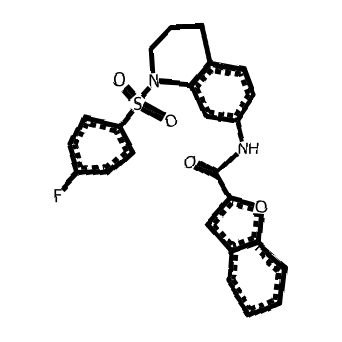 O=C(Nc1ccc2c(c1)N(S(=O)(=O)c1ccc(F)cc1)CCC2)c1cc2ccccc2o1